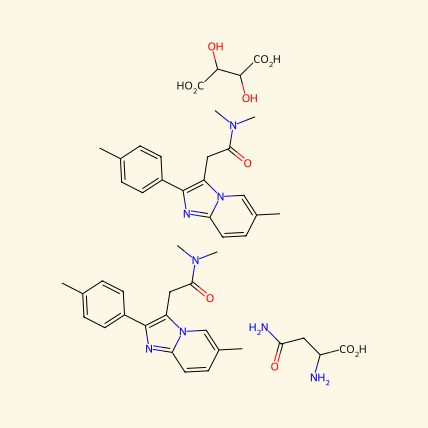 Cc1ccc(-c2nc3ccc(C)cn3c2CC(=O)N(C)C)cc1.Cc1ccc(-c2nc3ccc(C)cn3c2CC(=O)N(C)C)cc1.NC(=O)CC(N)C(=O)O.O=C(O)C(O)C(O)C(=O)O